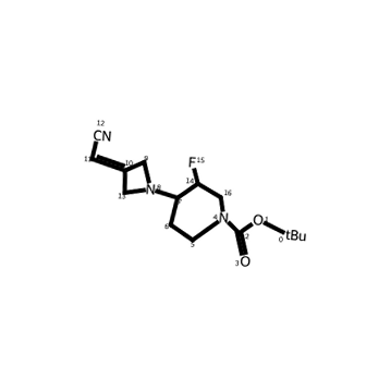 CC(C)(C)OC(=O)N1CCC(N2CC(=CC#N)C2)C(F)C1